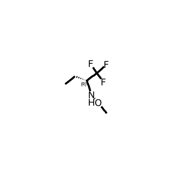 CC[C@@H](NOC)C(F)(F)F